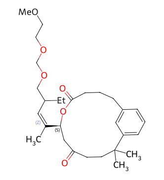 CCC(/C=C(/C)[C@@H]1CC(=O)CCC(C)(C)c2cccc(c2)CCCC(=O)O1)COCOCCOC